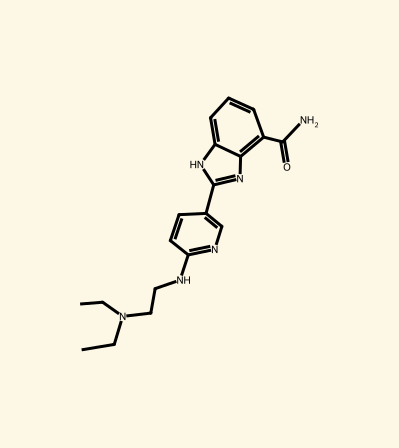 CCN(CC)CCNc1ccc(-c2nc3c(C(N)=O)cccc3[nH]2)cn1